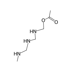 CNCNCNCOC(C)=O